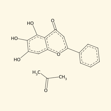 CC(C)=O.O=c1cc(-c2ccccc2)oc2cc(O)c(O)c(O)c12